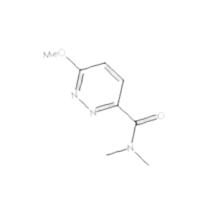 COc1ccc(C(=O)N(C)C)nn1